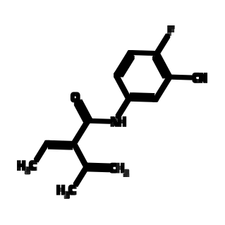 C=C(C)/C(=C\C)C(=O)Nc1ccc(F)c(C#N)c1